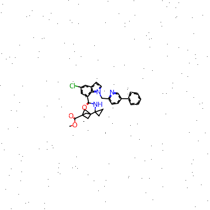 COC(=O)C12CC(C3(NC(=O)c4cc(Cl)cc5ccn(Cc6ccc(-c7ccccc7)cn6)c45)CC3)(C1)C2